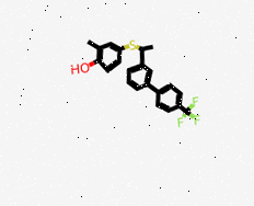 Cc1cc(SC(C)c2cccc(-c3ccc(C(F)(F)F)cc3)c2)ccc1O